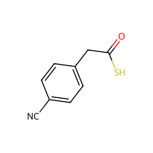 N#Cc1ccc(CC(=O)S)cc1